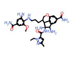 CCn1nc(C)cc1C(=O)N[C@@]1(N)C(N)c2cc(C(N)=O)cc3c2C1C(CCCNc1c(N)cc(C(N)=O)cc1OC)CO3